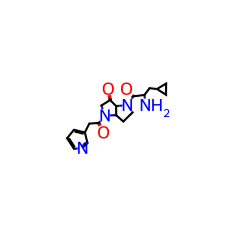 NC(CC1CC1)C(=O)N1CCC2C1C(=O)CN2C(=O)Cc1cccnc1